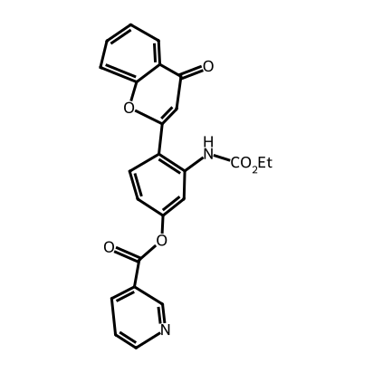 CCOC(=O)Nc1cc(OC(=O)c2cccnc2)ccc1-c1cc(=O)c2ccccc2o1